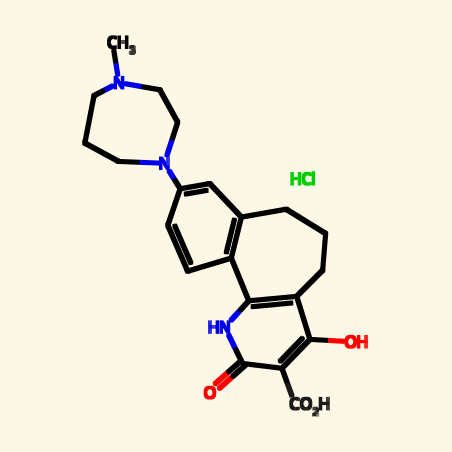 CN1CCCN(c2ccc3c(c2)CCCc2c-3[nH]c(=O)c(C(=O)O)c2O)CC1.Cl